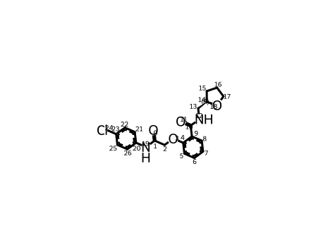 O=C(COc1ccccc1C(=O)NC[C@H]1CCCO1)Nc1ccc(Cl)cc1